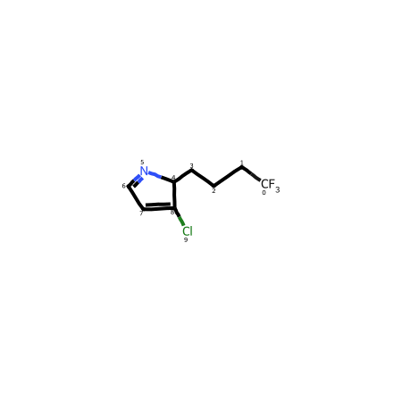 FC(F)(F)CCCC1N=CC=C1Cl